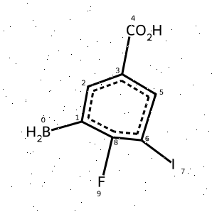 Bc1cc(C(=O)O)cc(I)c1F